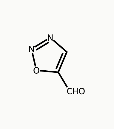 O=Cc1cnno1